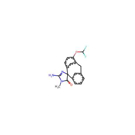 CN1C(=O)C2(N=C1N)c1cccc(c1)Cc1cc2ccc1OC(F)F